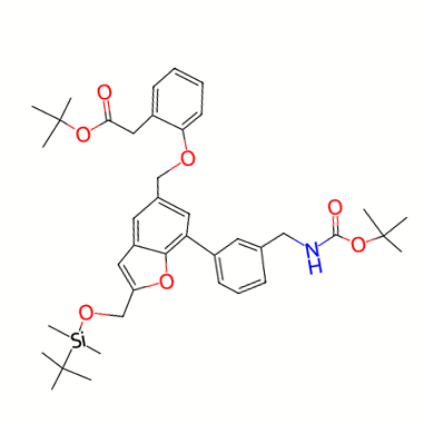 CC(C)(C)OC(=O)Cc1ccccc1OCc1cc(-c2cccc(CNC(=O)OC(C)(C)C)c2)c2oc(CO[Si](C)(C)C(C)(C)C)cc2c1